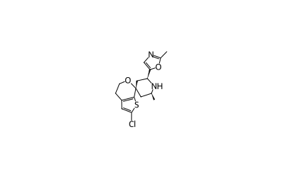 Cc1ncc([C@@H]2C[C@]3(C[C@H](C)N2)OCCc2cc(Cl)sc23)o1